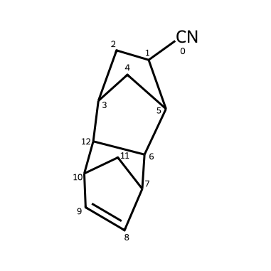 N#CC1CC2CC1C1C3C=CC(C3)C21